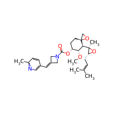 CO[C@@H]1[C@H](OC(=O)N2CC(=Cc3ccc(C)nc3)C2)CC[C@]2(CO2)[C@H]1[C@@]1(C)O[C@@H]1CC=C(C)C